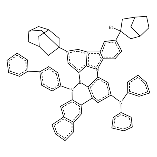 CCC1(c2ccc3c(c2)c2cc(C45CC6CC(CC(C6)C4)C5)cc4c2n3-c2cc(N(c3ccccc3)c3ccccc3)cc3c2B4N(c2ccc(-c4ccccc4)cc2)c2cc4ccccc4cc2-3)CC2CCC(C2)C1